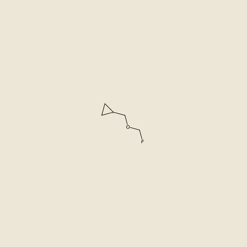 FCOC[C]1CC1